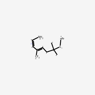 CCCSC(C)(C)CC=C(/C=C\N)C(F)(F)F